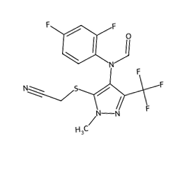 Cn1nc(C(F)(F)F)c(N(C=O)c2ccc(F)cc2F)c1SCC#N